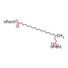 CCCCCOC(=O)CCCCCCCCCCCCCCCC(C)CCC(=O)OCCCCC